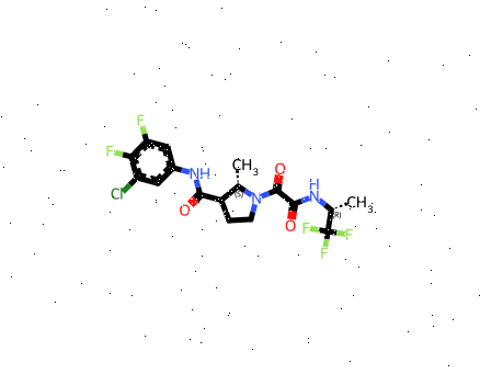 C[C@H]1C(C(=O)Nc2cc(F)c(F)c(Cl)c2)CCN1C(=O)C(=O)N[C@H](C)C(F)(F)F